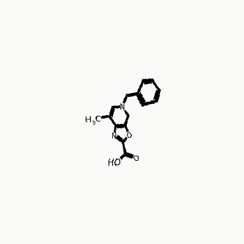 CC1=CN(Cc2ccccc2)Cc2oc(C(=O)O)nc21